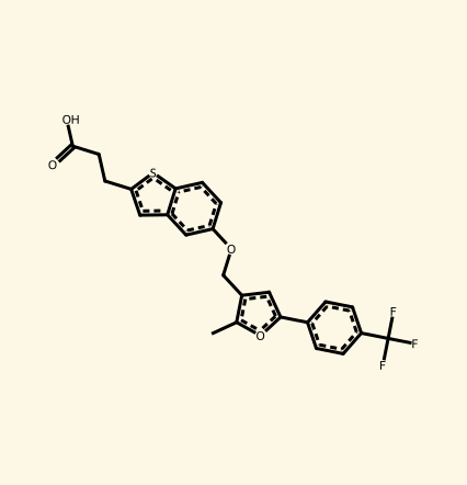 Cc1oc(-c2ccc(C(F)(F)F)cc2)cc1COc1ccc2sc(CCC(=O)O)cc2c1